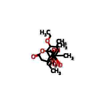 CCOC1C(C)CCC2(OCC)C3(C)CC(=O)OC12C1(O)C(C)=C(C)C(=O)C31O